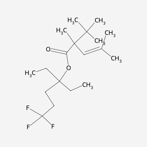 CCC(CC)(CCC(F)(F)F)OC(=O)C(C)(C=C(C)C)C(C)(C)C